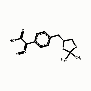 CC1(C)OC[C@H](Cc2ccc(C(=S=O)C(=O)O)cc2)O1